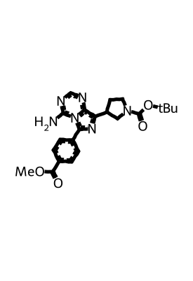 COC(=O)c1ccc(-c2nc(C3CCN(C(=O)OC(C)(C)C)C3)c3ncnc(N)n23)cc1